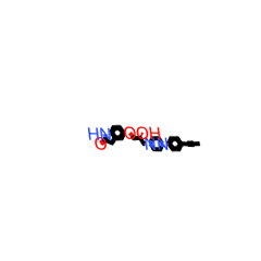 CC#Cc1ccc(N2CCN(C[C@H](O)COc3ccc4c(c3)CC(=O)N4)CC2)cc1